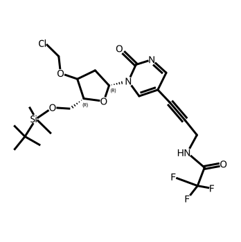 CC(C)(C)[Si](C)(C)OC[C@H]1O[C@@H](n2cc(C#CCNC(=O)C(F)(F)F)cnc2=O)CC1OCCl